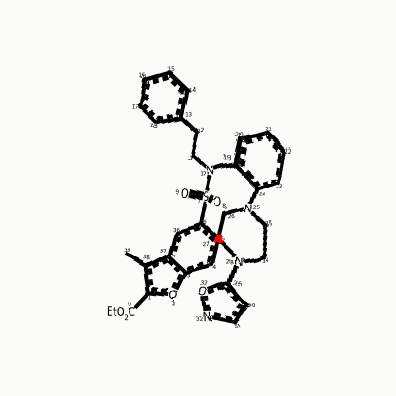 CCOC(=O)c1oc2ccc(S(=O)(=O)N(CCc3ccccc3)c3ccccc3N3CCN(c4ccno4)CC3)cc2c1C